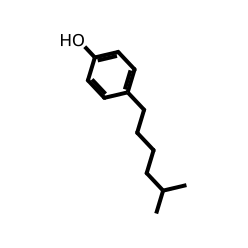 CC(C)CCCCc1ccc(O)cc1